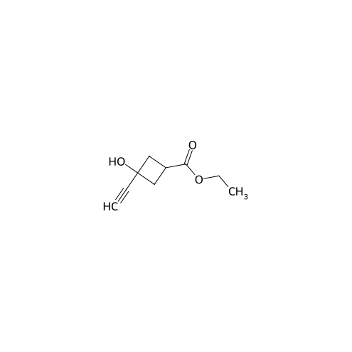 C#CC1(O)CC(C(=O)OCC)C1